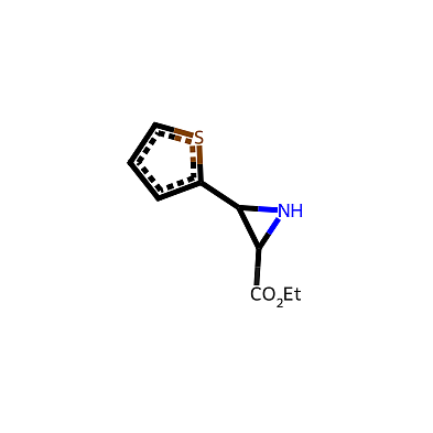 CCOC(=O)C1NC1c1cccs1